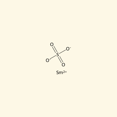 O=S(=O)([O-])[O-].[Sm+2]